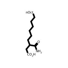 CCCCCCCCCCCCCCC(CC(=O)O)C(N)=O